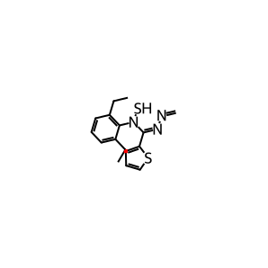 C=N/N=C(/c1cccs1)N(S)c1c(CC)cccc1CC